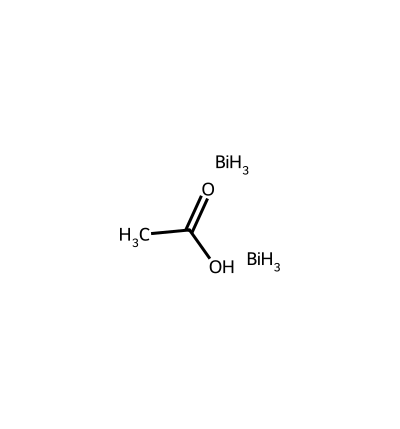 CC(=O)O.[BiH3].[BiH3]